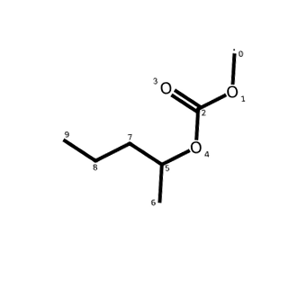 [CH2]OC(=O)OC(C)CCC